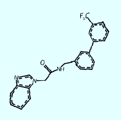 O=C(Cn1cnc2ccccc21)NCc1cccc(-c2cccc(C(F)(F)F)c2)c1